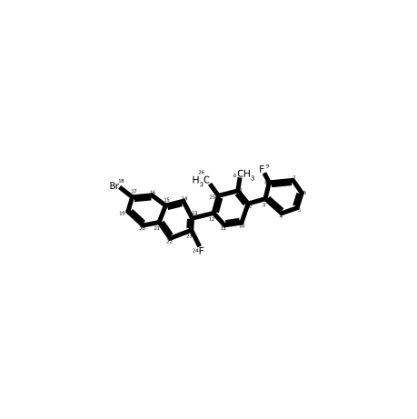 Cc1c(-c2ccccc2F)ccc(-c2cc3cc(Br)ccc3cc2F)c1C